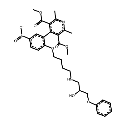 COC(=O)c1c(C)nc(C)c(C(=O)OC)c1-c1cc([N+](=O)[O-])ccc1OCCCCNCC(O)COc1ccccc1